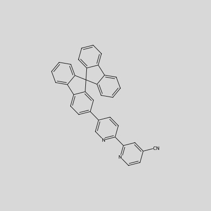 N#Cc1ccnc(-c2ccc(-c3ccc4c(c3)C3(c5ccccc5-c5ccccc53)c3ccccc3-4)cn2)c1